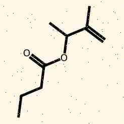 C=C(C)C(C)OC(=O)CCC